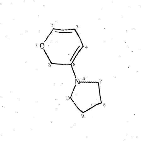 [CH]1OC=CC=C1N1CCCC1